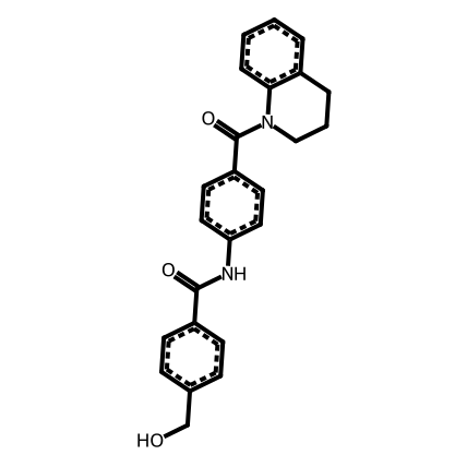 O=C(Nc1ccc(C(=O)N2CCCc3ccccc32)cc1)c1ccc(CO)cc1